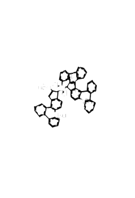 CCCCC1=Cc2c(ccc(C(C)(C)C)c2-c2ccccc2-c2ccccc2)[CH]1[Zr]([Cl])([Cl])([c]1cccc2c1[SiH2]c1ccccc1-2)[CH]1C(CCCC)=Cc2c1ccc(C(C)(C)C)c2-c1ccccc1-c1ccccc1